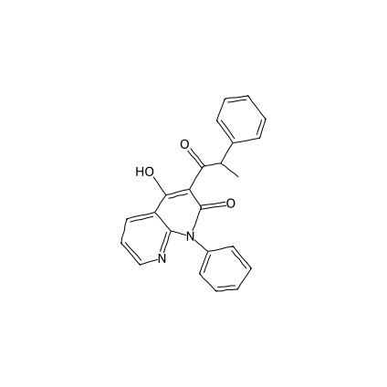 CC(C(=O)c1c(O)c2cccnc2n(-c2ccccc2)c1=O)c1ccccc1